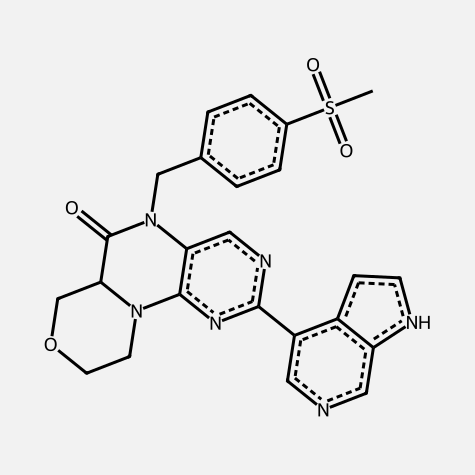 CS(=O)(=O)c1ccc(CN2C(=O)C3COCCN3c3nc(-c4cncc5[nH]ccc45)ncc32)cc1